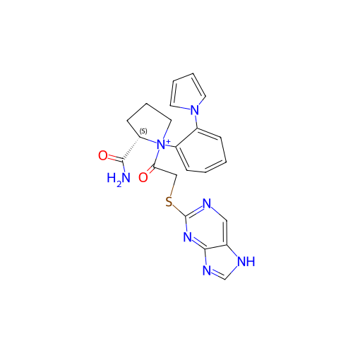 NC(=O)[C@@H]1CCC[N+]1(C(=O)CSc1ncc2[nH]cnc2n1)c1ccccc1-n1cccc1